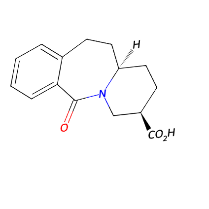 O=C(O)[C@@H]1CC[C@@H]2CCc3ccccc3C(=O)N2C1